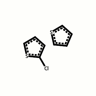 Clc1cccs1.c1ccsc1